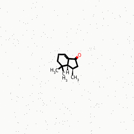 C[C@@H]1CC(=O)C2=CCCC(C)(C)[C@H]21